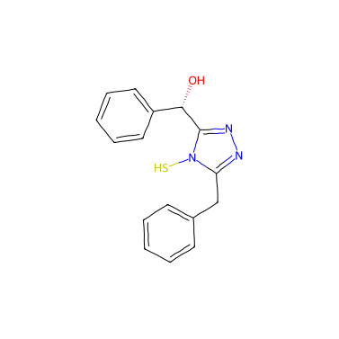 O[C@@H](c1ccccc1)c1nnc(Cc2ccccc2)n1S